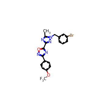 Cc1nc(-c2nc(-c3ccc(OC(F)(F)F)cc3)no2)nn1Cc1cccc(Br)c1